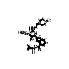 CCN1CCN(CCNc2ncc(Br)c(-c3cc4c(C(=O)ONC5CC5)cccc4s3)n2)CC1.Cl.Cl.Cl